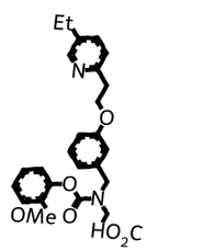 CCc1ccc(CCOc2cccc(CN(CC(=O)O)C(=O)Oc3ccccc3OC)c2)nc1